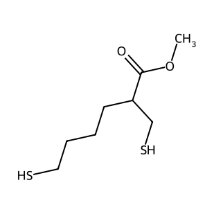 COC(=O)C(CS)CCCCS